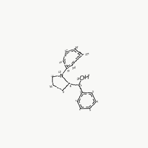 OC(c1ccccc1)C1CCCN1c1ccccc1